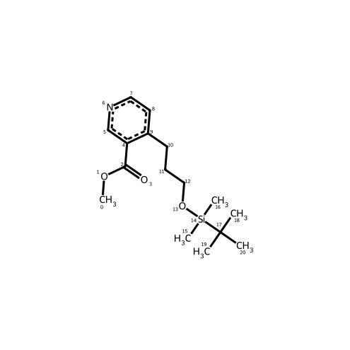 COC(=O)c1cnccc1CCCO[Si](C)(C)C(C)(C)C